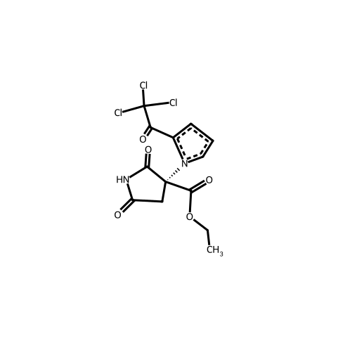 CCOC(=O)[C@@]1(n2cccc2C(=O)C(Cl)(Cl)Cl)CC(=O)NC1=O